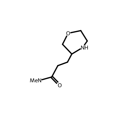 CNC(=O)CCC1COCCN1